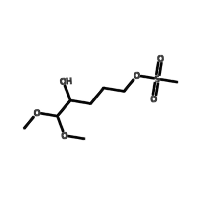 COC(OC)C(O)CCCOS(C)(=O)=O